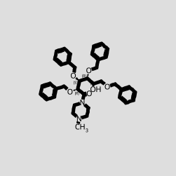 CN1CCN(C(=O)[C@H](OCc2ccccc2)[C@@H](OCc2ccccc2)[C@H](OCc2ccccc2)[C@H](O)COCc2ccccc2)CC1